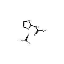 NC(O)=S.OC(=S)NC1NC=CS1